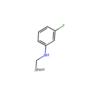 CCCCCCNc1cccc(F)c1